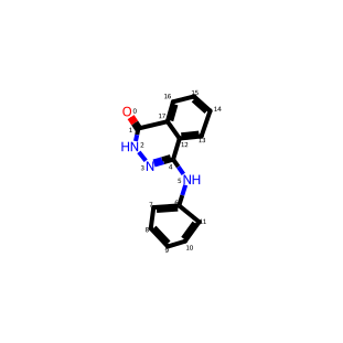 O=c1[nH]nc(Nc2ccccc2)c2ccccc12